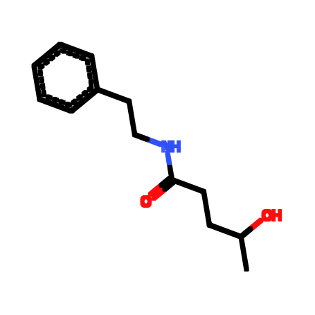 CC(O)CCC(=O)NCCc1ccccc1